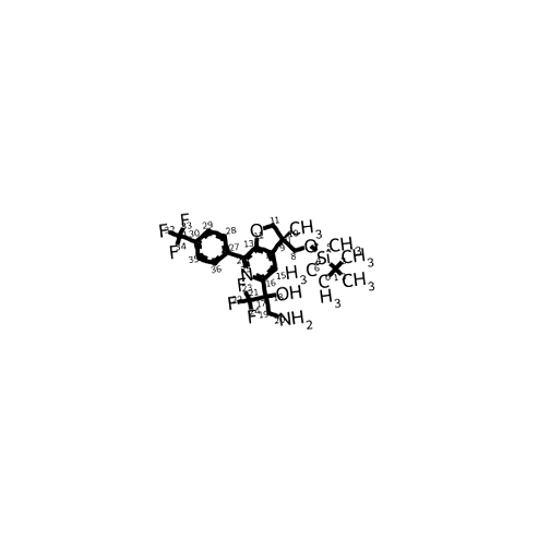 CC(C)(C)[Si](C)(C)OC[C@@]1(C)COc2c1cc(C(O)(CN)C(F)(F)F)nc2-c1ccc(C(F)(F)F)cc1